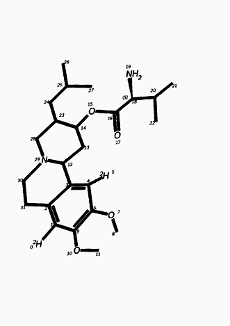 [2H]c1c2c(c([2H])c(OC)c1OC)C1CC(OC(=O)[C@@H](N)C(C)C)C(CC(C)C)CN1CC2